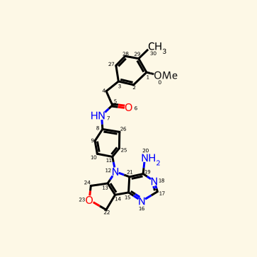 COc1cc(CC(=O)Nc2ccc(-n3c4c(c5ncnc(N)c53)COC4)cc2)ccc1C